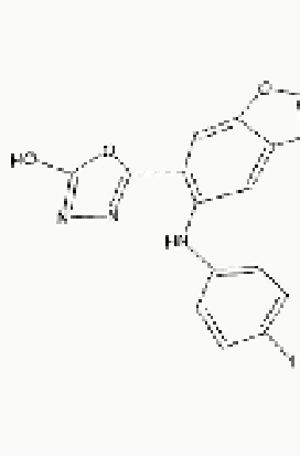 Oc1nnc(-c2cc3ocnc3cc2Nc2ccc(I)cc2)o1